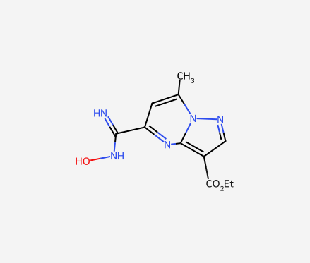 CCOC(=O)c1cnn2c(C)cc(C(=N)NO)nc12